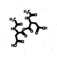 CC(=O)NC(CC(=O)O)C(=O)OC(=O)C(CC(=O)O)NC(C)=O